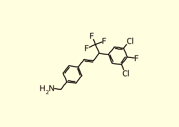 NCc1ccc(/C=C/C(c2cc(Cl)c(F)c(Cl)c2)C(F)(F)F)cc1